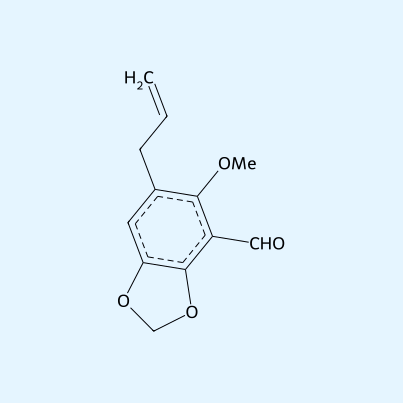 C=CCc1cc2c(c(C=O)c1OC)OCO2